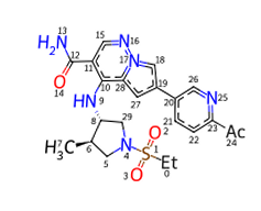 CCS(=O)(=O)N1C[C@@H](C)[C@H](Nc2c(C(N)=O)cnn3cc(-c4ccc(C(C)=O)nc4)cc23)C1